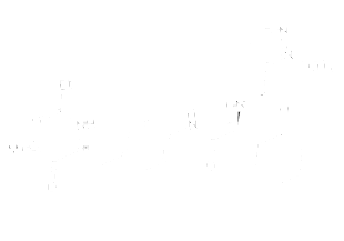 CCC(=O)N[C@H](Cc1ccc(NC(=O)[C@@H](NC(=O)c2ccnn2C)C2CCCCC2)cc1)C(=O)OC